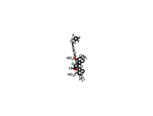 CC1(C)C=C(CS(=O)(=O)O)c2cc3c(c4c2N1CCC4)Oc1c(cc2c4c1CCCN4C(C)(C)C=C2CS(=O)(=O)O)C31c2c(Cl)ccc(Cl)c2C(=O)N1OCCOCCOCCOCCC(=O)Oc1c(F)c(F)cc(F)c1F